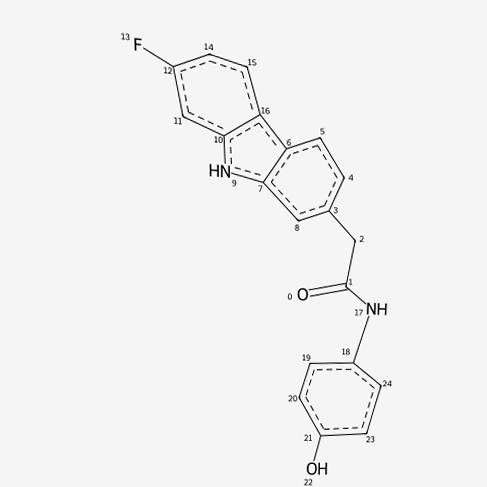 O=C(Cc1ccc2c(c1)[nH]c1cc(F)ccc12)Nc1ccc(O)cc1